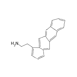 NCCc1cccc2cc3cc4ccccc4cc3cc12